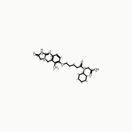 Cc1c(OCCCCC(=O)N(CC(=O)O)C2CCCCC2)ccc2c1CN1CC(=O)NC1=N2